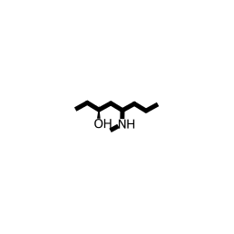 CCCC(C[C@@H](O)CC)NC